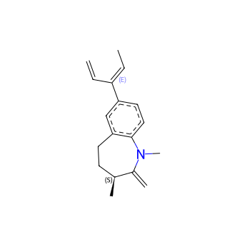 C=C/C(=C\C)c1ccc2c(c1)CC[C@H](C)C(=C)N2C